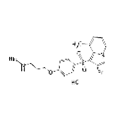 Cc1cccn2cc(C(C)C)c(S(=O)(=O)c3ccc(OCCCNC(C)(C)C)cc3)c12.Cl